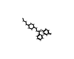 CCCCC1CCC(CCC(Oc2ccc(F)cc2)c2ccccc2)CC1